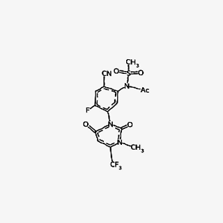 CC(=O)N(c1cc(-n2c(=O)cc(C(F)(F)F)n(C)c2=O)c(F)cc1C#N)S(C)(=O)=O